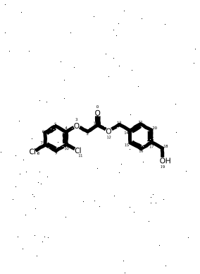 O=C(COc1ccc(Cl)cc1Cl)OCc1ccc(CO)cc1